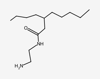 CCCCCC(CCCC)CC(=O)NCCN